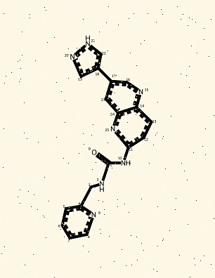 O=C(NCc1ccccn1)Nc1ccc2ncc(-c3cn[nH]c3)cc2n1